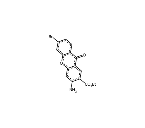 CCOC(=O)c1cc2c(=O)c3ccc(Br)cc3oc2cc1N